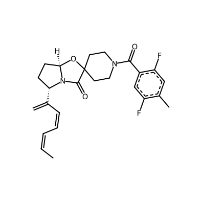 C=C(/C=C\C=C/C)[C@@H]1CC[C@H]2OC3(CCN(C(=O)c4cc(F)c(C)cc4F)CC3)C(=O)N21